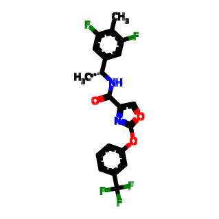 Cc1c(F)cc([C@@H](C)NC(=O)c2coc(Oc3cccc(C(F)(F)F)c3)n2)cc1F